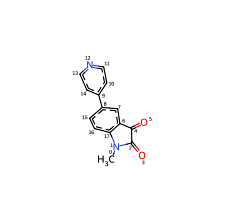 CN1C(=O)C(=O)c2cc(-c3ccncc3)ccc21